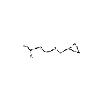 CCC([O])CCOCC1CC1